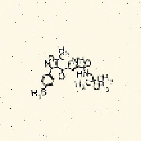 Bc1ccc(-c2noc(C)c2C(=O)c2c[nH]c(C(=O)NCC(C)(C)C)c2)cc1